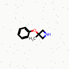 CC1(Oc2ccccc2)CNC1